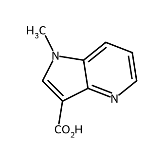 Cn1cc(C(=O)O)c2ncccc21